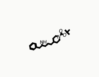 CC(C)(C)OC(=O)N1CCC(CCCC(N)Cc2ccccc2)CC1